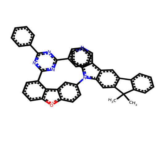 CC1(C)c2ccccc2-c2cc3c4cnccc4n(-c4ccc5oc6cccc(-c7nc(-c8ccccc8)nc(-c8ccccc8)n7)c6c5c4)c3cc21